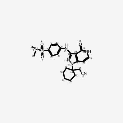 CN(C)S(=O)(=O)c1ccc(Nc2nn(C3(CC#N)CCCCC3)c3cc[nH]c(=O)c23)cc1